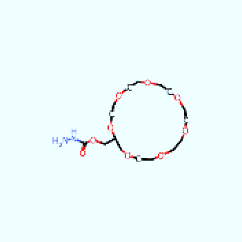 NNC(=O)OCC1COCCOCCOCCOCCOCCOCCO1